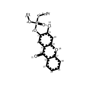 CCCSP(=O)(OCC)Oc1cc2c(=O)c3ccccc3oc2cc1Cl